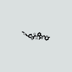 CCOC=Cc1ccn2c(C(=O)Nc3cccc4c3c(C)nn4Cc3cccc(C)n3)cnc2c1